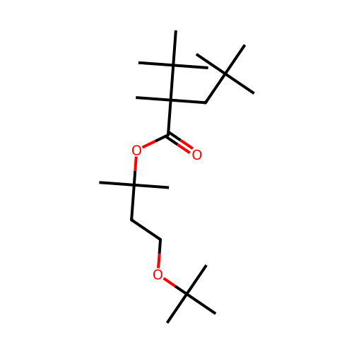 CC(C)(C)CC(C)(C(=O)OC(C)(C)CCOC(C)(C)C)C(C)(C)C